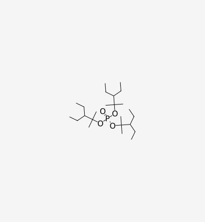 CCC(CC)C(C)(C)OP(=O)(OC(C)(C)C(CC)CC)OC(C)(C)C(CC)CC